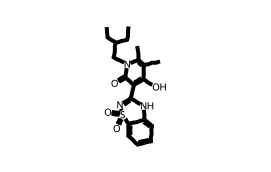 CCC(CC)Cn1c(C)c(C)c(O)c(C2=NS(=O)(=O)c3ccccc3N2)c1=O